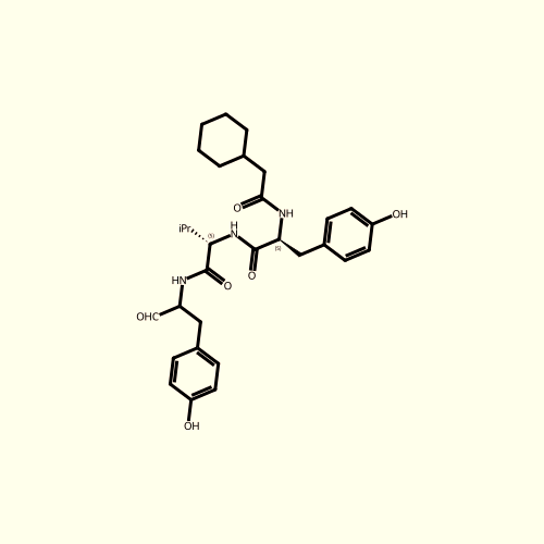 CC(C)[C@H](NC(=O)[C@H](Cc1ccc(O)cc1)NC(=O)CC1CCCCC1)C(=O)NC(C=O)Cc1ccc(O)cc1